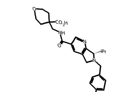 CC(C)[C@H]1c2ncc(C(=O)NCC3(C(=O)O)CCOCC3)cc2CN1Cc1ccc(C(F)(F)F)cc1